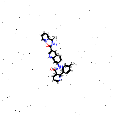 CC[C@@H](NC(=O)c1cnc2cc(NC(=O)c3cccnc3-c3ccc(C(F)(F)F)cc3)ccc2c1)c1ccccn1